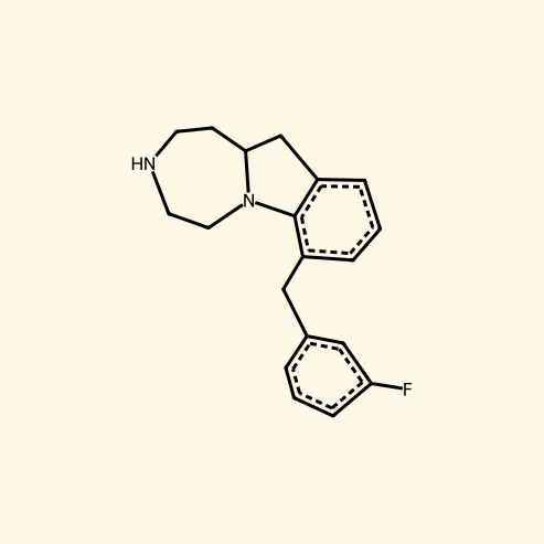 Fc1cccc(Cc2cccc3c2N2CCNCCC2C3)c1